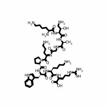 C[C@H](NC(=O)[C@@H](NC(=O)[C@@H](N)CCCCN)[C@@H](O)CN)C(=O)NCC(=O)/N=C(\CCCN)C(=O)N1CCC[C@H]1C(=O)N[C@@H](Cc1c[nH]c2ccccc12)C(=O)N[C@@H](CCCCN)C(=O)N/C(=C\CCNC(=N)N)C(=O)O